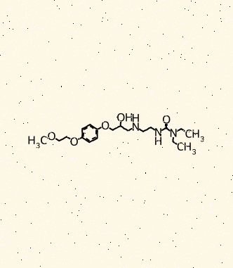 CCN(CC)C(=O)NCCNCC(O)COc1ccc(OCCOC)cc1